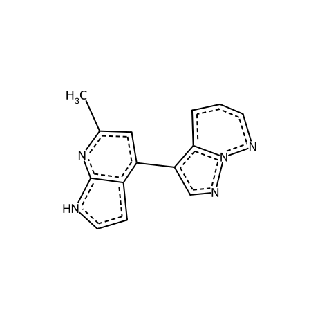 Cc1cc(-c2cnn3ncccc23)c2cc[nH]c2n1